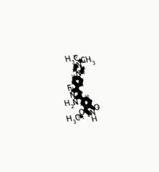 CCOc1c[nH]c(=O)c2ccc(-c3cc(-c4ccc(N5CCN(C(C)C)CC5)cc4)c(F)nc3N)cc12